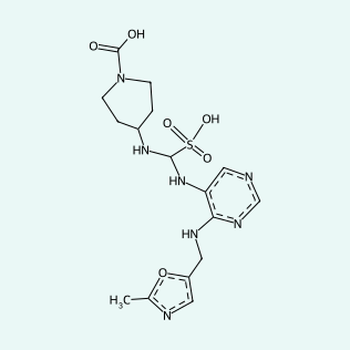 Cc1ncc(CNc2ncncc2NC(NC2CCN(C(=O)O)CC2)S(=O)(=O)O)o1